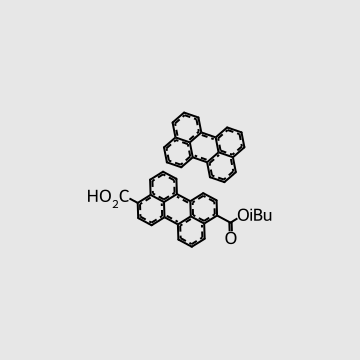 CC(C)COC(=O)c1ccc2c3cccc4c(C(=O)O)ccc(c5cccc1c52)c43.c1cc2cccc3c4cccc5cccc(c(c1)c23)c54